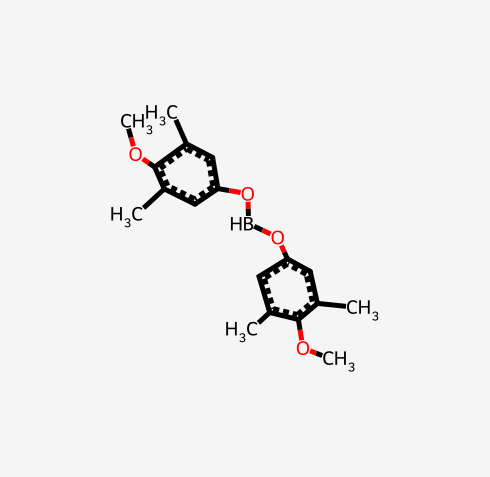 COc1c(C)cc(OBOc2cc(C)c(OC)c(C)c2)cc1C